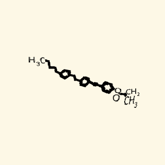 C=C(C)C(=O)Oc1ccc(C#Cc2ccc(CCc3ccc(CCCCC)cc3)cc2)cc1